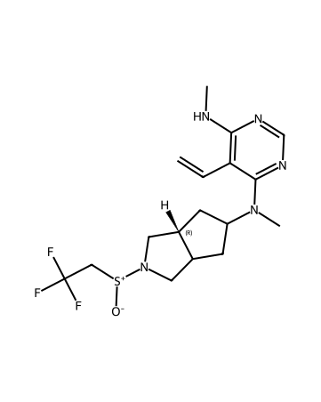 C=Cc1c(NC)ncnc1N(C)C1CC2CN([S+]([O-])CC(F)(F)F)C[C@@H]2C1